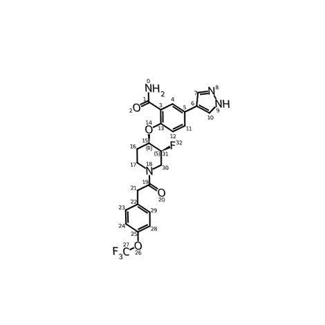 NC(=O)c1cc(-c2cn[nH]c2)ccc1O[C@@H]1CCN(C(=O)Cc2ccc(OC(F)(F)F)cc2)C[C@@H]1F